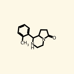 Cc1ccccc1C1NCCN2C(=O)CCC12